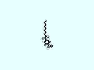 CCCCCCCCC(=O)Nc1ccc([SH](=O)=O)cc1